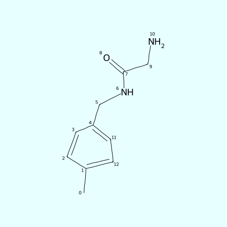 Cc1ccc(CNC(=O)CN)cc1